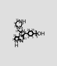 CC(C)(O)c1ccc(-c2nc(CN3CCCNCC3)n3c2cnc2[nH]ccc23)cc1